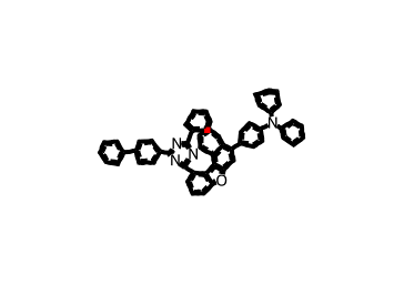 c1ccc(-c2ccc(-c3nc(-c4ccccc4)nc(-c4cccc5oc6cc(-c7ccc(N(c8ccccc8)c8ccccc8)cc7)c7ccccc7c6c45)n3)cc2)cc1